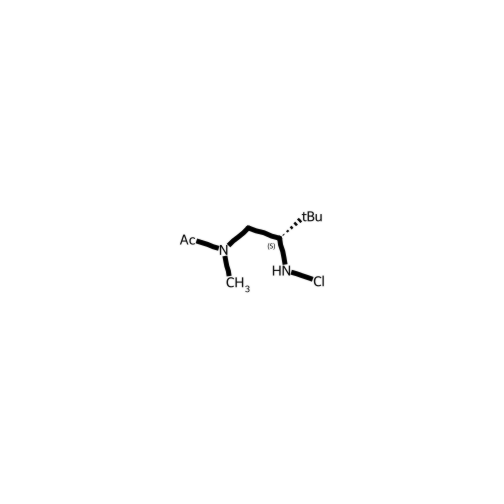 CC(=O)N(C)C[C@@H](NCl)C(C)(C)C